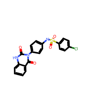 O=c1[nH]c2ccccc2c(=O)n1-c1ccc([N]S(=O)(=O)c2ccc(Cl)cc2)cc1